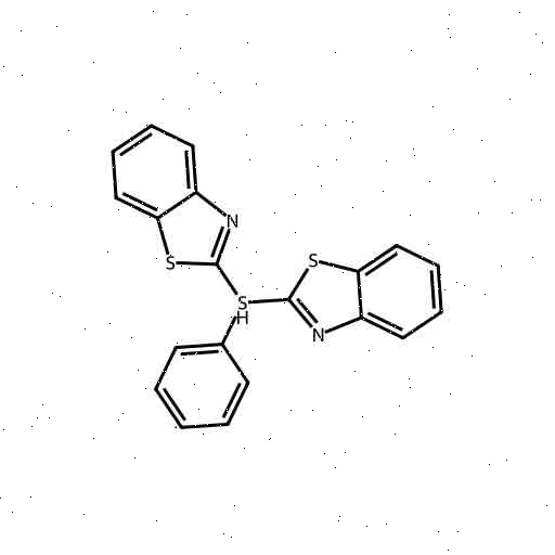 [c]1ccc([SH](c2nc3ccccc3s2)c2nc3ccccc3s2)cc1